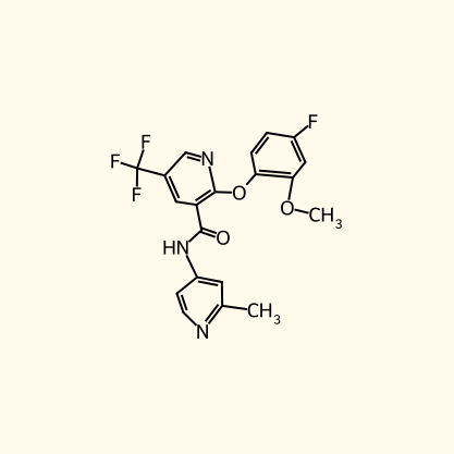 COc1cc(F)ccc1Oc1ncc(C(F)(F)F)cc1C(=O)Nc1ccnc(C)c1